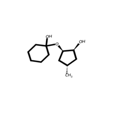 C[C@H]1C[C@H](O)[C@H](OC2(O)CCCCC2)C1